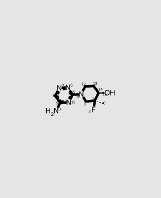 C[C@]1(F)CN(c2nncc(N)n2)CC[C@H]1O